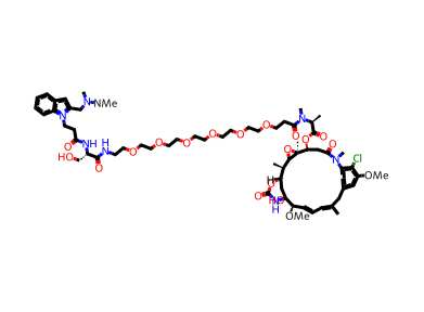 CNN(C)Cc1cc2ccccc2n1CCC(=O)N[C@@H](CO)C(=O)NCCOCCOCCOCCOCCOCCOCCC(=O)N(C)[C@@H](C)C(=O)O[C@H]1CC(=O)N(C)c2cc(cc(OC)c2Cl)C/C(C)=C/C=C/[C@@H](OC)[C@@]2(O)C[C@H](OC(=O)N2)[C@@H](C)C2O[C@]21C